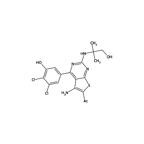 CC(=O)c1sc2nc(NC(C)(C)CO)nc(-c3cc(O)c(Cl)c(Cl)c3)c2c1N